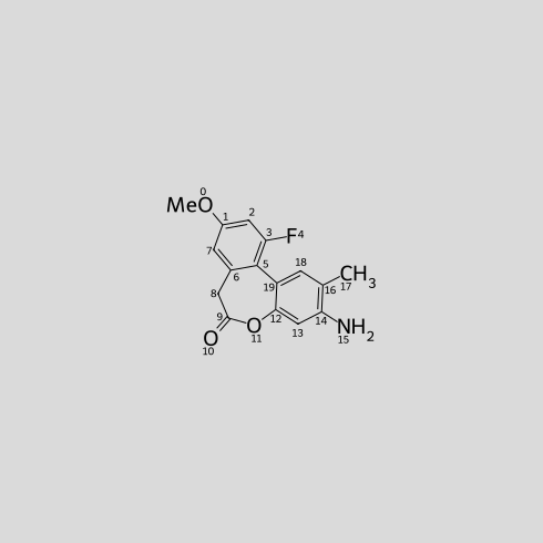 COc1cc(F)c2c(c1)CC(=O)Oc1cc(N)c(C)cc1-2